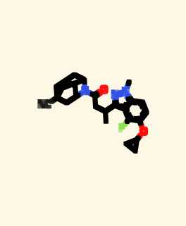 CC(CC(=O)N1C2CC3CC1CC(C#N)(C3)C2)c1nn(C)c2ccc(OC3CC3)c(F)c12